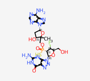 C[C@]1(COP(=O)(S)[C@@H]2[C@@H](F)[C@@H](CO)O[C@H]2n2nnc3c(=O)[nH]c(N)nc32)O[C@@H](n2cnc3c(N)ncnc32)C[C@@H]1O